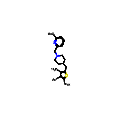 CCCCCCc1sc(CC2CCN(Cc3cccc(OC)n3)CC2)c(C)c1C(C)=O